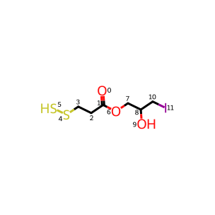 O=C(CCSS)OCC(O)CI